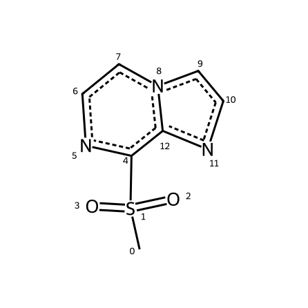 CS(=O)(=O)c1nccn2ccnc12